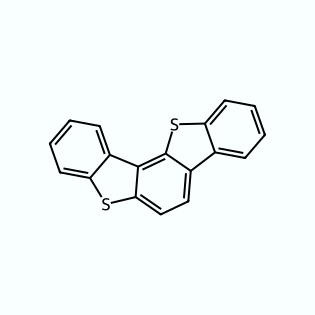 c1ccc2c(c1)sc1c2ccc2sc3ccccc3c21